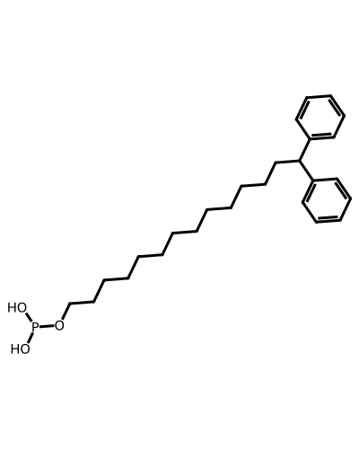 OP(O)OCCCCCCCCCCCCCC(c1ccccc1)c1ccccc1